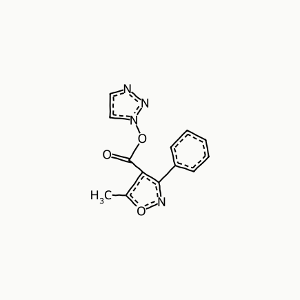 Cc1onc(-c2ccccc2)c1C(=O)On1ccnn1